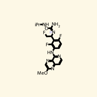 COc1cnc2c(Nc3ccc(F)c(C(CF)/N=C(/N)ONC(C)C)c3F)nccc2n1